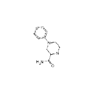 NC(=O)C1CN(c2ccccc2)CC[N]1